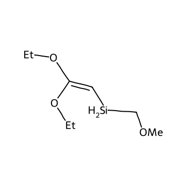 CCOC(=C[SiH2]COC)OCC